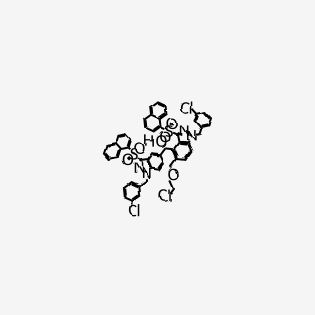 O=S(=O)(c1cccc2ccccc12)c1nn(Cc2cccc(Cl)c2)c2ccc(C(O)c3c(COCCCl)ccc4c3c(S(=O)(=O)c3cccc5ccccc35)nn4Cc3cccc(Cl)c3)cc12